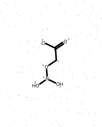 O=C(Cl)CON(O)O